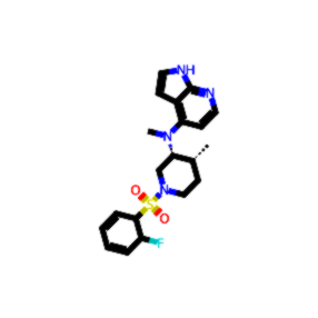 C[C@@H]1CCN(S(=O)(=O)C2C=CC=CC2F)C[C@@H]1N(C)c1ccnc2[nH]ccc12